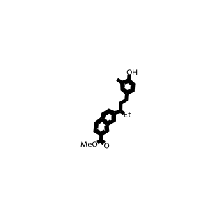 CCC(CCc1ccc(O)c(C)c1)c1ccc2ccc(C(=O)OC)cc2c1